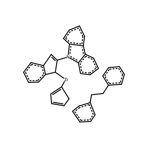 C1=CC[C]([Zr][CH]2C(n3c4ccccc4c4ccccc43)=Cc3ccccc32)=C1.c1ccc(CCc2ccccc2)cc1